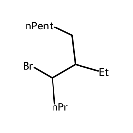 CCCCCCC(CC)C(Br)CCC